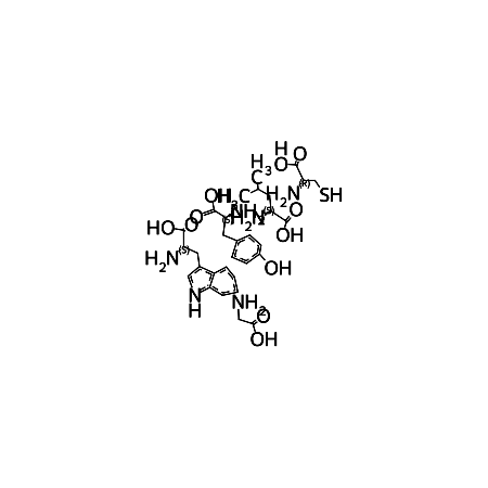 CC(C)C[C@H](N)C(=O)O.NCC(=O)O.N[C@@H](CS)C(=O)O.N[C@@H](Cc1c[nH]c2ccccc12)C(=O)O.N[C@@H](Cc1ccc(O)cc1)C(=O)O